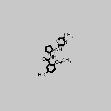 CCOc1ccc(C)cc1C(=O)N[C@H]1CCC[C@@H]1Nc1cnc(C)cn1